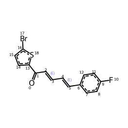 O=C(/C=C/C=C/c1ccc(F)cc1)c1ccc(Br)s1